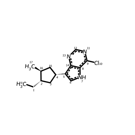 CC[C@H]1C[C@@H](c2c[nH]c3c(Cl)ncnc23)C[C@@H]1C